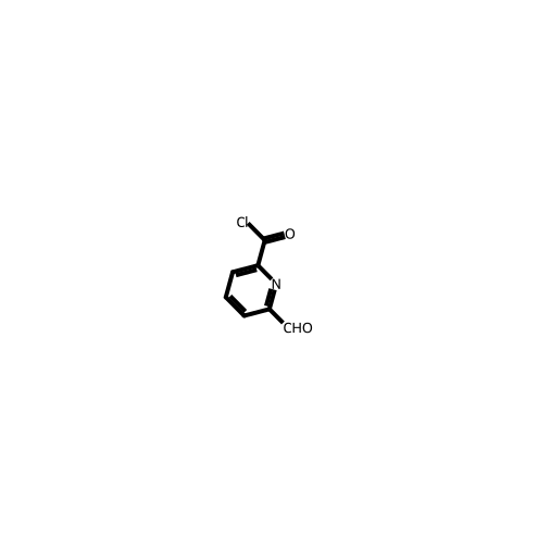 O=Cc1cccc(C(=O)Cl)n1